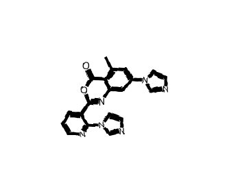 Cc1cc(-n2ccnc2)cc2nc(-c3cccnc3-n3ccnc3)oc(=O)c12